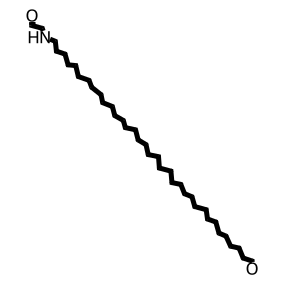 O=CCCCCCCCCCCCCCCCCCCCCCCCCCCCCCCCCCCNCC=O